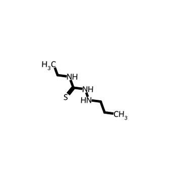 CCCNNC(=S)NCC